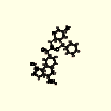 CCn1ncc2c(N)nc3ccc(C(=O)N(Cc4ccc(Br)cn4)OCc4ccccc4)cc3c21